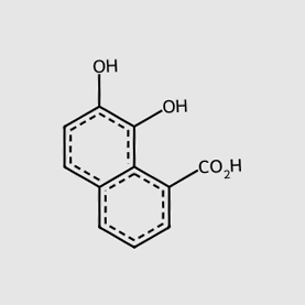 O=C(O)c1cccc2ccc(O)c(O)c12